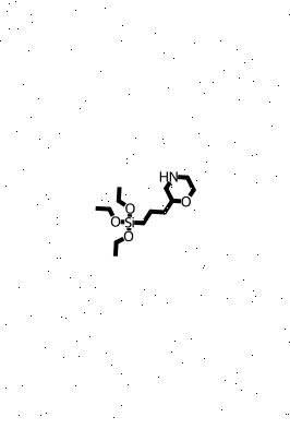 CCO[Si](CCCC1CNCCO1)(OCC)OCC